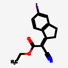 CCOC(=O)C(C#N)=C1CCc2cc(I)ccc21